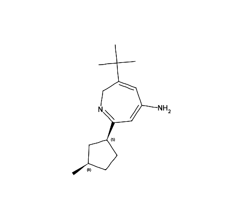 C[C@@H]1CC[C@H](C2=NCC(C(C)(C)C)=CC(N)=C2)C1